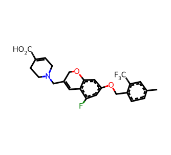 Cc1ccc(COc2cc(F)c3c(c2)OCC(CN2CC=C(C(=O)O)CC2)=C3)c(C(F)(F)F)c1